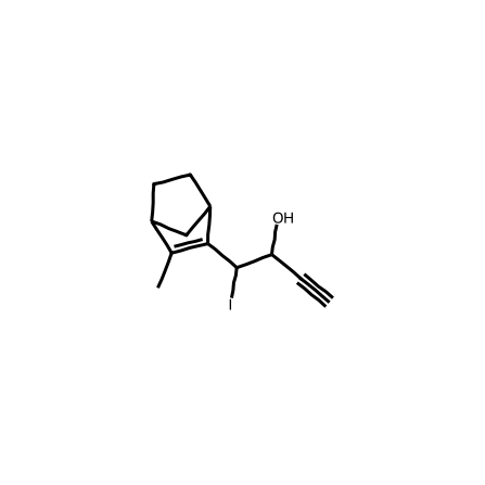 C#CC(O)C(I)C1=C(C)C2CCC1C2